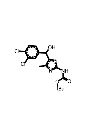 Cc1nc(NC(=O)OC(C)(C)C)sc1C(O)c1ccc(Cl)c(Cl)c1